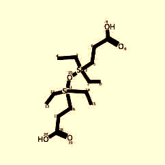 CC[Si](CC)(CCC(=O)O)O[Si](CC)(CC)CCC(=O)O